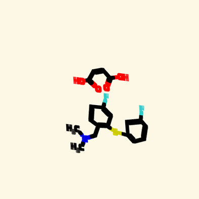 CN(C)Cc1ccc(F)cc1Sc1cccc(F)c1.O=C(O)/C=C\C(=O)O